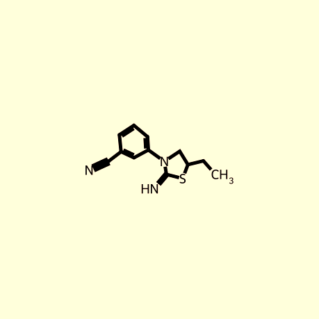 CCC1CN(c2cccc(C#N)c2)C(=N)S1